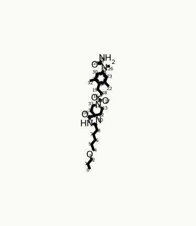 CCCOCCCCCC1=NC2(CCN(S(=O)(=O)CCc3c(C)cc(N(C)C(N)=O)cc3C)CC2)C(=O)N1